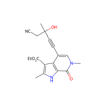 CCOC(=O)c1c(C)[nH]c2c(=O)n(C)cc(C#CC(C)(O)CC#N)c12